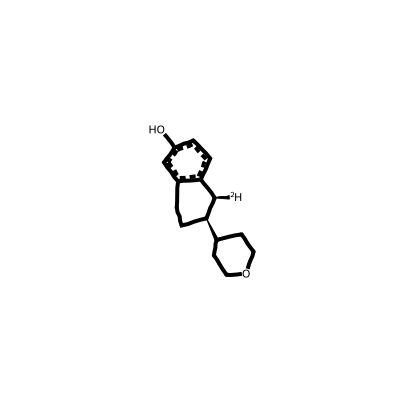 [2H][C@@H]1c2ccc(O)cc2CC[C@@H]1C1CCOCC1